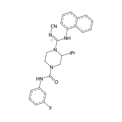 CC(C)C1CN(C(=O)Nc2cccc(F)c2)CCN1/C(=N/C#N)Nc1cccc2ccccc12